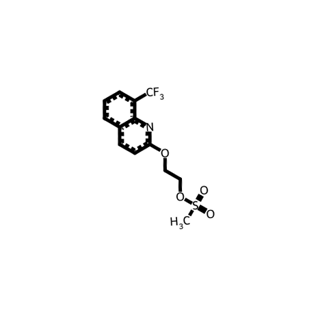 CS(=O)(=O)OCCOc1ccc2cccc(C(F)(F)F)c2n1